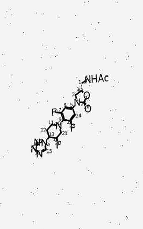 CC(=O)NC[C@H]1CN(c2cc(F)c(N3CCC(n4cnnn4)C(F)C3)c(F)c2)C(=O)O1